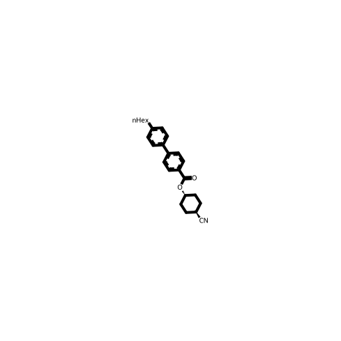 CCCCCCc1ccc(-c2ccc(C(=O)O[C@H]3CC[C@H](C#N)CC3)cc2)cc1